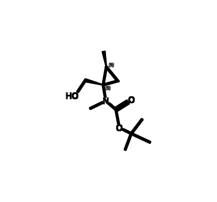 C[C@H]1C[C@]1(CO)N(C)C(=O)OC(C)(C)C